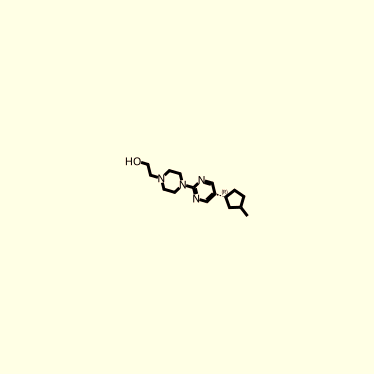 CC1CC[C@@H](c2cnc(N3CCN(CCO)CC3)nc2)C1